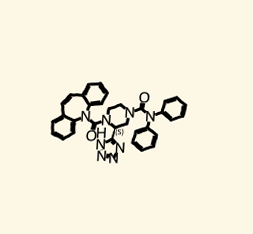 O=C(N1CCN(C(=O)N2c3ccccc3C=Cc3ccccc32)[C@H](c2nnn[nH]2)C1)N(c1ccccc1)c1ccccc1